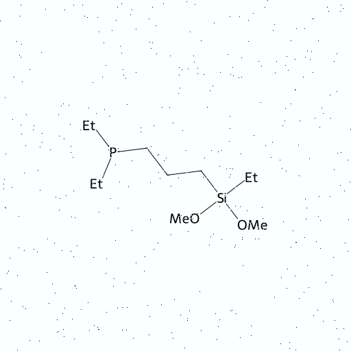 CCP(CC)CCC[Si](CC)(OC)OC